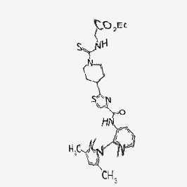 CCOC(=O)CNC(=S)N1CCC(c2nc(C(=O)Nc3cccnc3-n3nc(C)cc3C)cs2)CC1